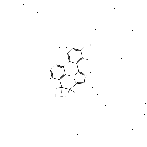 Cc1ccc2c3cccc4c3n3c(c[n+](C)c3c2c1C)C(C)(C)C4(C)C